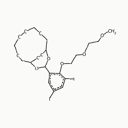 COCCOCCOc1c(I)cc(I)cc1C1OC2CCCCCCCCC(CC2)O1